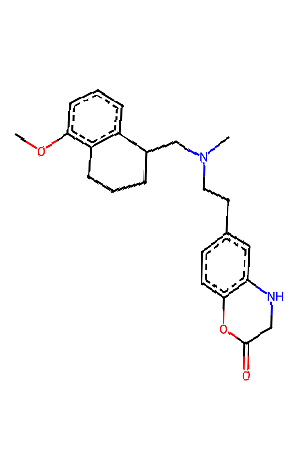 COc1cccc2c1CCCC2CN(C)CCc1ccc2c(c1)NCC(=O)O2